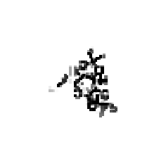 CC1(C)O[C@@H]2[C@H](O1)[C@H]1OC(C)(C)OC1O[C@@H]2CI